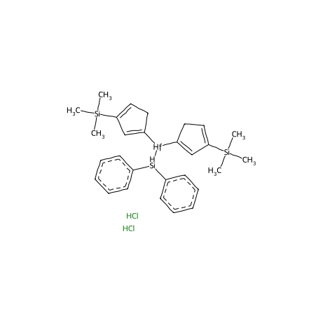 C[Si](C)(C)C1=CC[C]([Hf]([C]2=CC([Si](C)(C)C)=CC2)[SiH](c2ccccc2)c2ccccc2)=C1.Cl.Cl